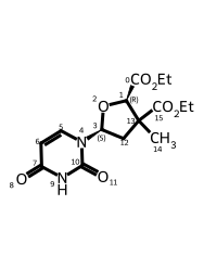 CCOC(=O)[C@@H]1O[C@H](n2ccc(=O)[nH]c2=O)CC1(C)C(=O)OCC